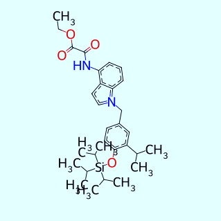 CCOC(=O)C(=O)Nc1cccc2c1ccn2Cc1ccc(O[Si](C(C)C)(C(C)C)C(C)C)c(C(C)C)c1